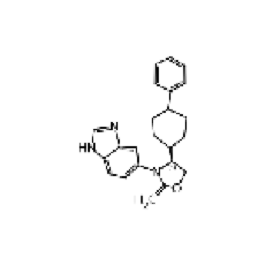 C=C1OC[C@H](C2CCC(c3ccccc3)CC2)N1c1ccc2[nH]cnc2c1